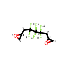 FC(F)(CC1CO1)C(F)(F)C(F)(F)CC1CO1